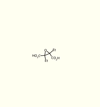 CCC1(C(=O)O)OC1(CC)C(=O)O